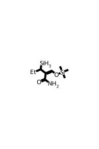 CCC([SiH3])C(=CO[Si](C)(C)C)C(N)=O